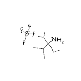 CCC(N)(C(C)C)C(C)C.F[B-](F)(F)F